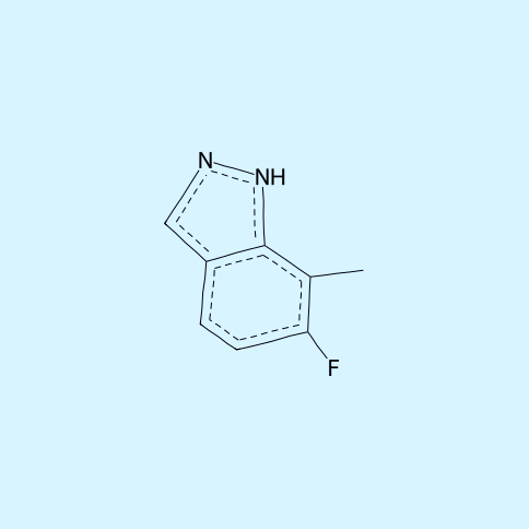 Cc1c(F)ccc2cn[nH]c12